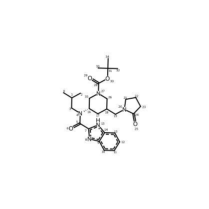 CC(C)CN(C(=O)c1nc2ccccc2[nH]1)[C@H]1CC(CN2CCCC2=O)CN(C(=O)OC(C)(C)C)C1